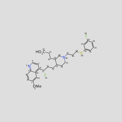 COc1ccc2nccc([C@@H](F)CCC3CCN(CCCSc4cccc(F)c4)CC3CCC(=O)O)c2c1